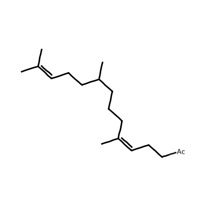 CC(=O)CCC=C(C)CCCC(C)CCC=C(C)C